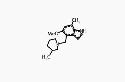 COc1cc(C)c2[nH]ccc2c1CN1CCCC(C)C1